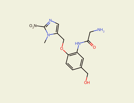 Cn1c(COc2ccc(CO)cc2NC(=O)CN)cnc1[N+](=O)[O-]